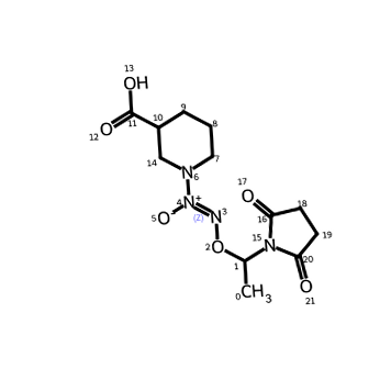 CC(O/N=[N+](\[O-])N1CCCC(C(=O)O)C1)N1C(=O)CCC1=O